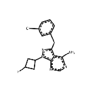 Nc1ncnc2c1c(Cc1cccc(Cl)c1)nn2C1CC(F)C1